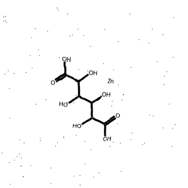 O=C(O)C(O)C(O)C(O)C(O)C(=O)O.[Zn]